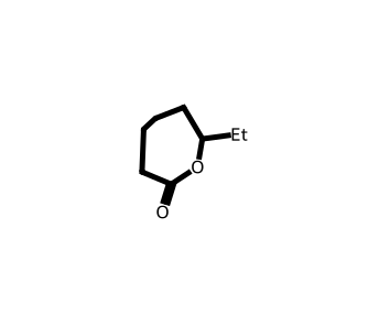 CCC1CCCCC(=O)O1